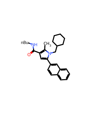 CCCCNC(=O)c1cc(-c2ccc3ccccc3c2)n(CC2CCCCC2)c1C